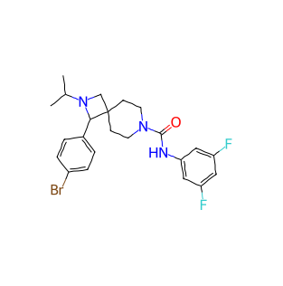 CC(C)N1CC2(CCN(C(=O)Nc3cc(F)cc(F)c3)CC2)C1c1ccc(Br)cc1